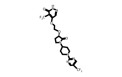 O=C1[C@H](OCCOc2cn[nH]c(=O)c2C(F)(F)F)CCN1C1CCN(c2ncc(C(F)(F)F)cn2)CC1